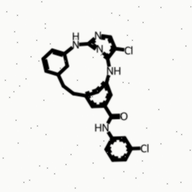 O=C(Nc1cccc(Cl)c1)c1cc2cc(c1)Nc1nc(ncc1Cl)NC1=CC=CC(CC2)C1